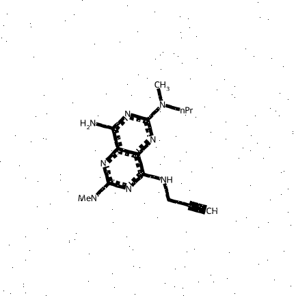 C#CCNc1nc(NC)nc2c(N)nc(N(C)CCC)nc12